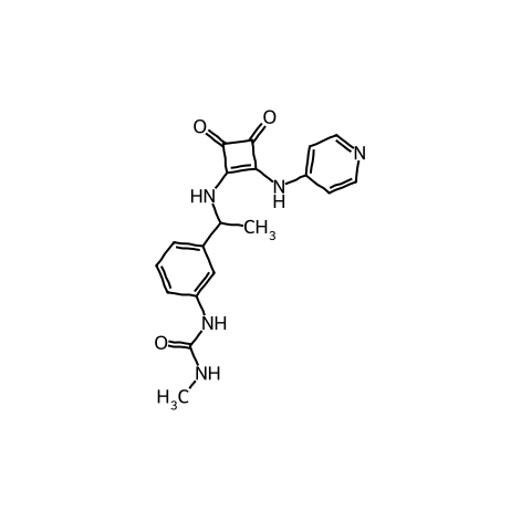 CNC(=O)Nc1cccc(C(C)Nc2c(Nc3ccncc3)c(=O)c2=O)c1